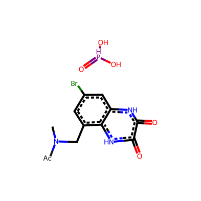 CC(=O)N(C)Cc1cc(Br)cc2[nH]c(=O)c(=O)[nH]c12.O=[PH](O)O